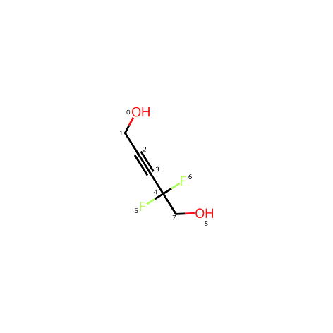 OCC#CC(F)(F)CO